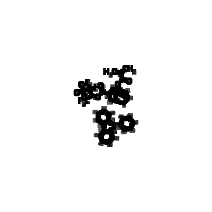 C=C(C)C(=O)OC12CC3CC(C1)CC(C(=O)OC(C(F)(F)F)C(F)(F)S(=O)(=O)[O-])(C3)C2.c1ccc(-[s+]2c3ccccc3c3ccccc32)cc1